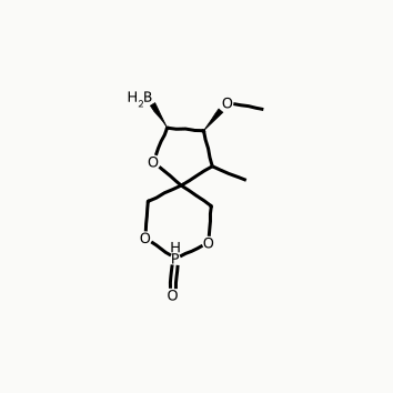 B[C@@H]1OC2(CO[PH](=O)OC2)C(C)[C@@H]1OC